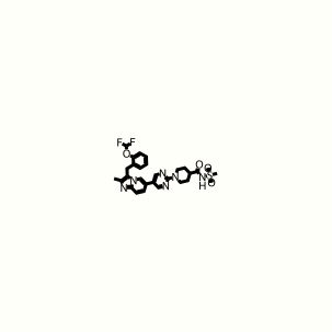 Cc1nc2ccc(-c3cnc(N4CCC(C(=O)NS(C)(=O)=O)CC4)nc3)cn2c1Cc1ccccc1OC(F)F